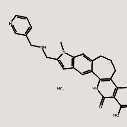 Cl.Cn1c(CNCc2cccnc2)cc2cc3c(cc21)CCCc1c-3[nH]c(=O)c(C(=O)O)c1O